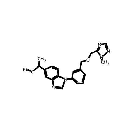 CCOC(C)c1ccc2c(c1)ncn2-c1cccc(COCc2ncnn2C)c1